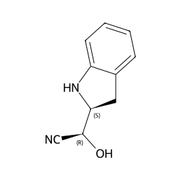 N#C[C@H](O)[C@@H]1Cc2ccccc2N1